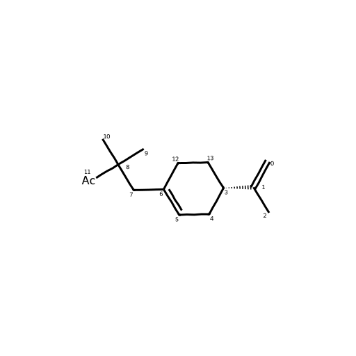 C=C(C)[C@@H]1CC=C(CC(C)(C)C(C)=O)CC1